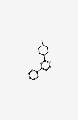 CN1CCN(c2cc(-c3c[c]ccc3)ccn2)CC1